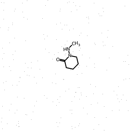 CNN1CCCCC1=O